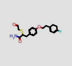 NC(=O)C(Cc1ccc(OCCC2=CC=C(F)CC2)cc1)SCC=O